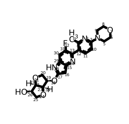 Cc1nc(N2CCOCC2)ccc1-c1nc2cc(O[C@@H]3CO[C@H]4[C@@H]3OC[C@H]4O)[nH]c2cc1F